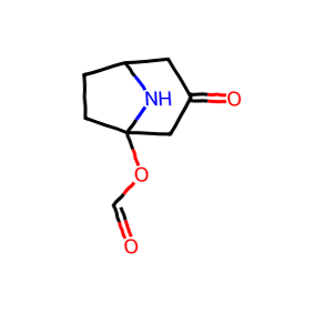 O=COC12CCC(CC(=O)C1)N2